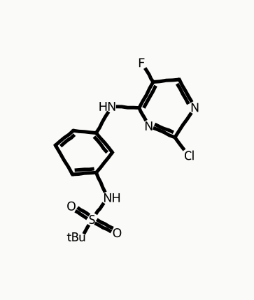 CC(C)(C)S(=O)(=O)Nc1cccc(Nc2nc(Cl)ncc2F)c1